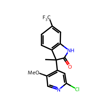 COc1cnc(Cl)cc1C1(C)C(=O)Nc2cc(C(F)(F)F)ccc21